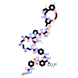 CCCNC(=O)Nc1cccc(S(=O)(=O)Nc2cccc([C@@H](CC(=O)O)NC(=O)Nc3ccc(NC(=O)NCCN(C)CCN(C)CCN(C)CC(=O)N[C@@H](CC(N)=O)C(=O)N4CCC[C@H]4C(=O)N[C@H](C(=O)N=[S@](C)(=O)Cc4cc5nc(c4)OCCCOc4cc(F)ccc4-c4cc(ncc4F)N5)C(C)C)cc3)c2)c1